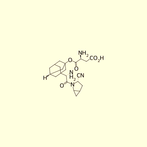 N#C[C@@H]1CC2CC2N1C(=O)[C@@H](N)C12CC3C[C@H](CC(OC(=O)[C@@H](N)CC(=O)O)(C3)C1)C2